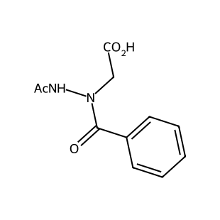 CC(=O)NN(CC(=O)O)C(=O)c1ccccc1